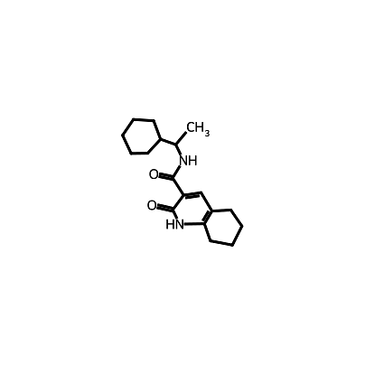 CC(NC(=O)c1cc2c([nH]c1=O)CCCC2)C1CCCCC1